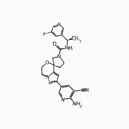 C[C@@H](NC(=O)N1CC[C@]2(C1)OCCn1nc(-c3cnc(N)c(C#N)c3)cc12)c1cncc(F)c1